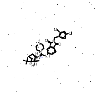 C[C@@H]1[C@@H](/N=C(/Nc2ccc3c(c2)C(=O)N(Cc2ccc(Cl)cc2Cl)C3=O)N2CCN[C@@H](C)C2)CC2C[C@@H]1C2(C)C